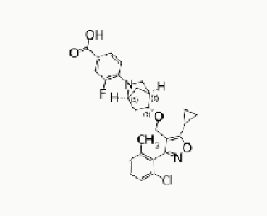 Cc1cccc(Cl)c1-c1noc(C2CC2)c1CO[C@@H]1C[C@@H]2C[C@H]1CN2c1ccc(C(=O)O)cc1F